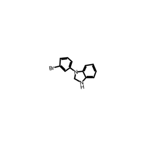 Brc1cccc(N2CNc3ccccc32)c1